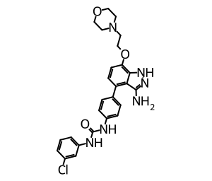 Nc1n[nH]c2c(OCCN3CCOCC3)ccc(-c3ccc(NC(=O)Nc4cccc(Cl)c4)cc3)c12